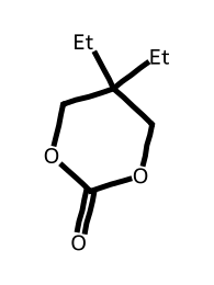 CCC1(CC)COC(=O)OC1